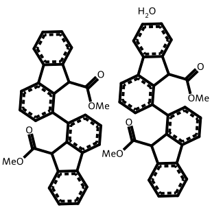 COC(=O)C1c2ccccc2-c2cccc(-c3cccc4c3C(C(=O)OC)c3ccccc3-4)c21.COC(=O)C1c2ccccc2-c2cccc(-c3cccc4c3C(C(=O)OC)c3ccccc3-4)c21.O